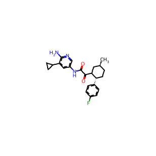 C[C@H]1CC[C@H](c2ccc(F)cc2)C(C(=O)C(=O)Nc2cnc(N)c(C3CC3)c2)C1